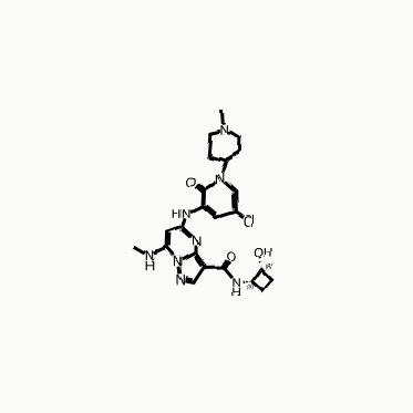 CNc1cc(Nc2cc(Cl)cn(C3CCN(C)CC3)c2=O)nc2c(C(=O)N[C@H]3CC[C@H]3O)cnn12